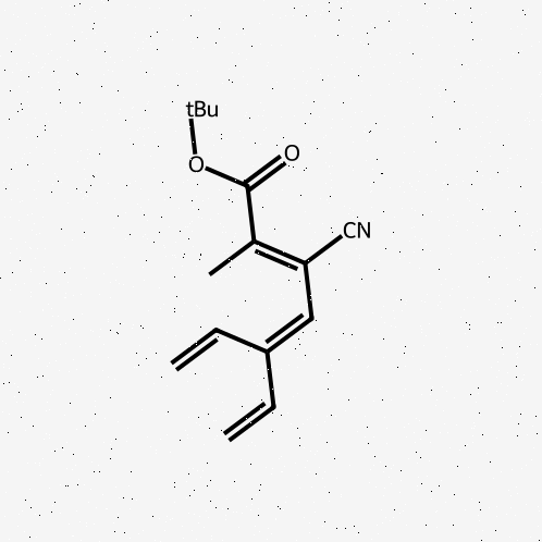 C=CC(C=C)=C/C(C#N)=C(\C)C(=O)OC(C)(C)C